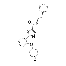 O=C(NCCc1ccccc1)c1cnc(-c2ccccc2OC2CCNCC2)s1